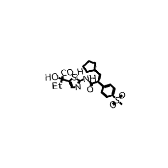 CCC(O)(C(=O)O)c1cnc(NC(=O)C(CC2CCCC2)c2ccc(S(C)(=O)=O)cc2)s1